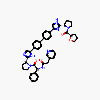 O=C(Cc1cccnc1)N[C@@H](C(=O)N1CCC[C@H]1c1ncc(-c2ccc(-c3ccc(-c4c[nH]c([C@@H]5CCCN5C(=O)[C@H]5CCCO5)n4)cc3)cc2)[nH]1)c1ccccc1